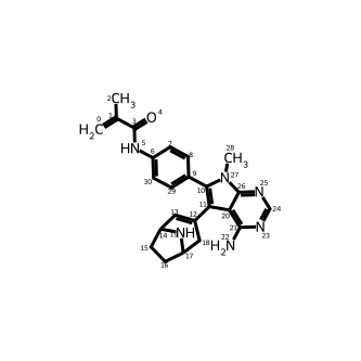 C=C(C)C(=O)Nc1ccc(-c2c(C3=CC4CCC(C3)N4)c3c(N)ncnc3n2C)cc1